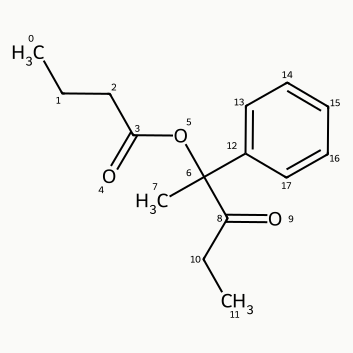 CCCC(=O)OC(C)(C(=O)CC)c1ccccc1